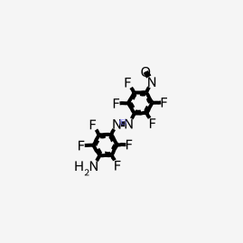 Nc1c(F)c(F)c(/N=N/c2c(F)c(F)c(N=O)c(F)c2F)c(F)c1F